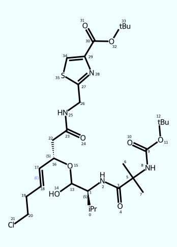 CC(C)[C@H](NC(=O)C(C)(C)NC(=O)OC(C)(C)C)C(O)O[C@H](/C=C/CCCl)CC(=O)NCc1nc(C(=O)OC(C)(C)C)cs1